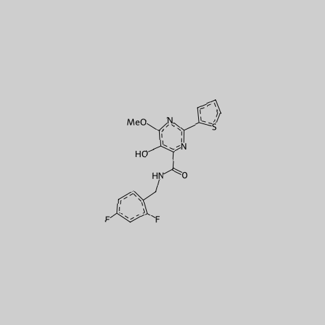 COc1nc(-c2cccs2)nc(C(=O)NCc2ccc(F)cc2F)c1O